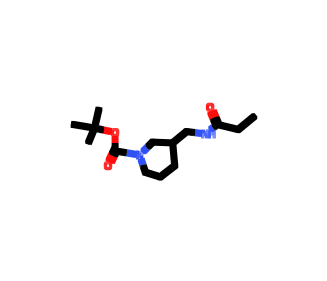 CCC(=O)NCC1CCCN(C(=O)OC(C)(C)C)C1